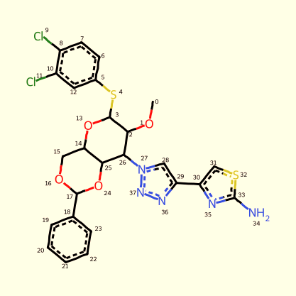 COC1C(Sc2ccc(Cl)c(Cl)c2)OC2COC(c3ccccc3)OC2C1n1cc(-c2csc(N)n2)nn1